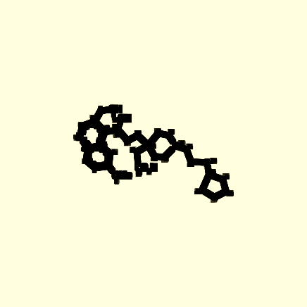 COc1ccc2ncc(CO)c([C@@H](O)CCC3(CC(=O)O)CCN(CCSC4CCCC4)CC3)c2c1